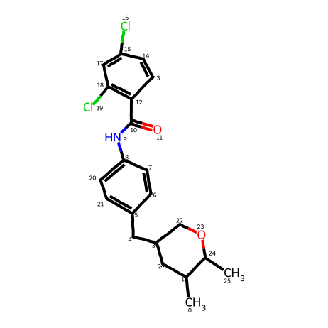 CC1[C]C(Cc2ccc(NC(=O)c3ccc(Cl)cc3Cl)cc2)COC1C